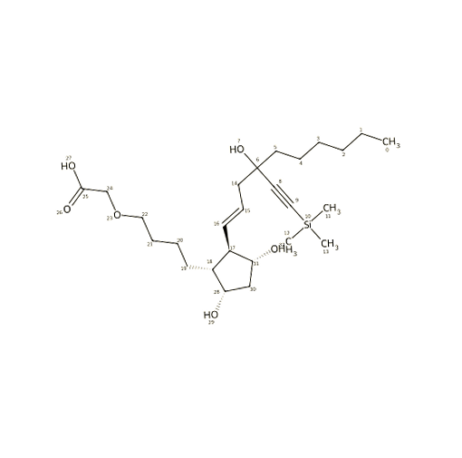 CCCCCCC(O)(C#C[Si](C)(C)C)CC=C[C@@H]1[C@@H](CCCCOCC(=O)O)[C@@H](O)C[C@H]1O